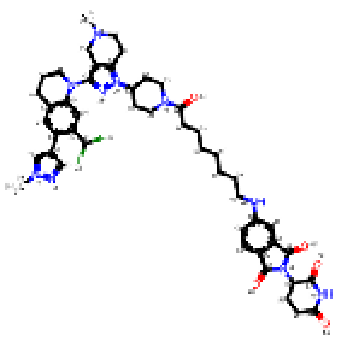 CC(=O)N1CCc2c(c(N3CCCc4cc(-c5cnn(C)c5)c(C(F)F)cc43)nn2C2CCN(C(=O)CCCCCCCNc3ccc4c(c3)C(=O)N(C3CCC(=O)NC3=O)C4=O)CC2)C1